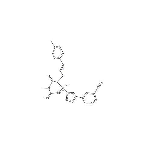 Cc1ccc(/C=C/CC2C(=O)N(C)C(=N)N[C@]2(C)c2cc(-c3cccc(C#N)c3)cs2)cc1